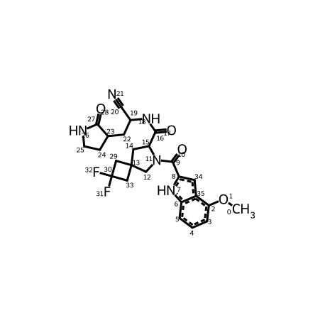 COc1cccc2[nH]c(C(=O)N3CC4(CC3C(=O)NC(C#N)CC3CCNC3=O)CC(F)(F)C4)cc12